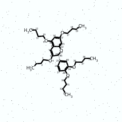 CCCCOC1=Cc2c(OCCCC)cc(OCCCC)cc2O[C@@H]1c1ccc(OCCCC)c(OCCCC)c1